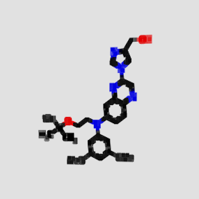 COc1cc(OC)cc(N(CCO[Si](C)(C)C(C)(C)C)c2ccc3ncc(-n4cnc(CO)c4)nc3c2)c1